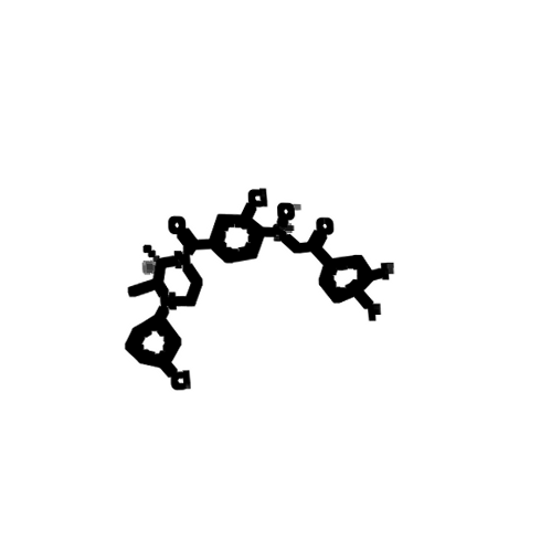 CC1[C@H](C)N(C(=O)c2ccc([S+]([O-])CC(=O)c3ccc(F)c(F)c3)c(Cl)c2)CCN1c1cccc(Cl)c1